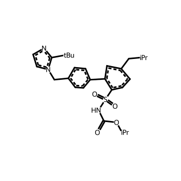 CC(C)Cc1ccc(S(=O)(=O)NC(=O)OC(C)C)c(-c2ccc(Cn3ccnc3C(C)(C)C)cc2)c1